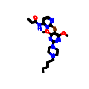 C=CC(=O)Nc1ccnc(Sc2c(OC)nc(N3CCN(CCCCC)CC3)nc2OC)n1